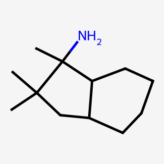 CC1(C)CC2CCCCC2C1(C)N